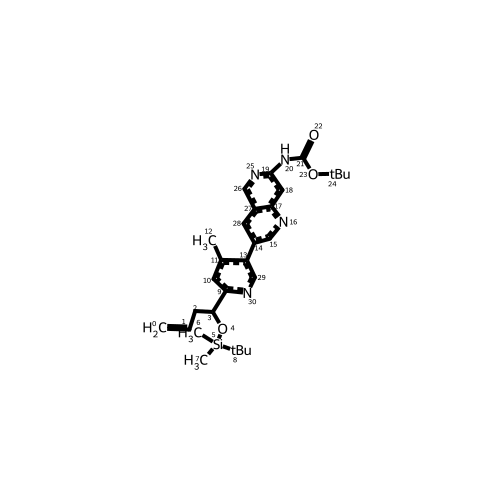 C=CCC(O[Si](C)(C)C(C)(C)C)c1cc(C)c(-c2cnc3cc(NC(=O)OC(C)(C)C)ncc3c2)cn1